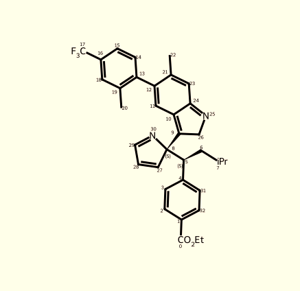 CCOC(=O)c1ccc([C@H](CC(C)C)[C@]2(C3=c4cc(-c5ccc(C(F)(F)F)cc5C)c(C)cc4=NC3)C=CC=N2)cc1